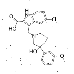 COc1cccc(C2(O)CCCN(Cc3c(C(=O)O)[nH]c4ccc(Cl)cc34)C2)c1